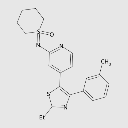 CCc1nc(-c2cccc(C)c2)c(-c2ccnc(N=S3(=O)CCCCC3)c2)s1